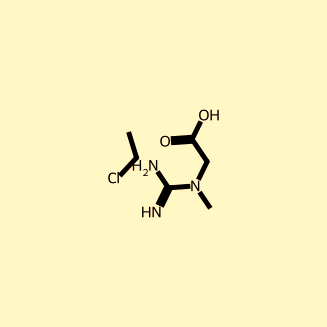 CCCl.CN(CC(=O)O)C(=N)N